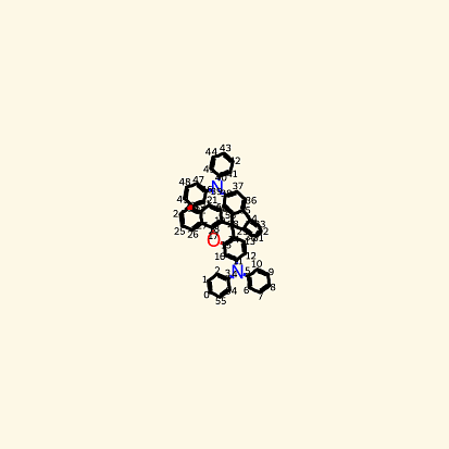 c1ccc(N(c2ccccc2)c2ccc3c(c2)Oc2c(ccc4ccccc24)C32c3ccccc3-c3ccc(N(c4ccccc4)c4ccccc4)cc32)cc1